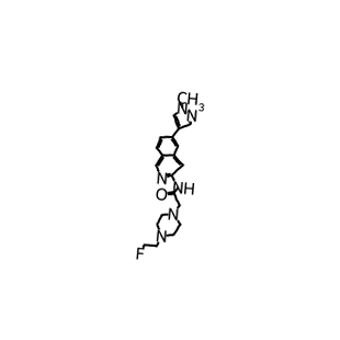 Cn1cc(-c2ccc3cnc(NC(=O)CN4CCN(CCF)CC4)cc3c2)cn1